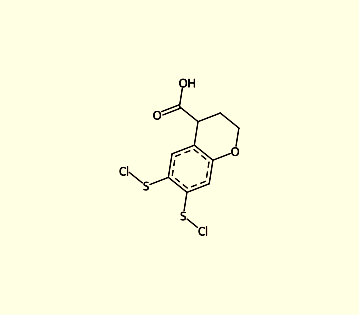 O=C(O)C1CCOc2cc(SCl)c(SCl)cc21